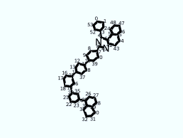 c1ccc(-c2nc(-c3ccc(-c4ccc(-c5cccc(-c6cccc(-c7cccc8ccccc78)c6)c5)cc4)cc3)nc3ccc4ccccc4c23)cc1